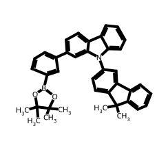 CC1(C)c2ccccc2-c2cc(-n3c4ccccc4c4ccc(-c5cccc(B6OC(C)(C)C(C)(C)O6)c5)cc43)ccc21